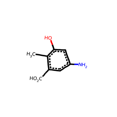 Cc1c(O)cc(N)cc1C(=O)O